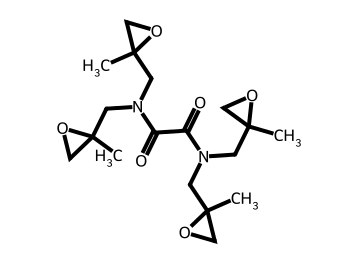 CC1(CN(CC2(C)CO2)C(=O)C(=O)N(CC2(C)CO2)CC2(C)CO2)CO1